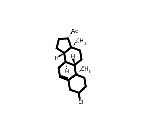 CC(=O)[C@H]1CC[C@H]2[C@@H]3CC=C4CC(Cl)CC[C@]4(C)[C@H]3CC[C@]12C